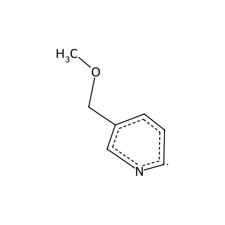 COCc1cc[c]nc1